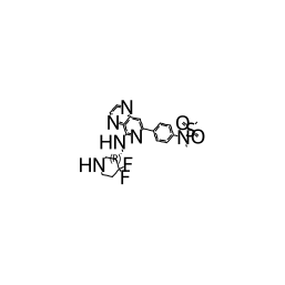 CN(c1ccc(-c2cc3nccnc3c(NC[C@H]3CNCCC3(F)F)n2)cc1)S(C)(=O)=O